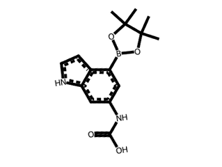 CC1(C)OB(c2cc(NC(=O)O)cc3[nH]ccc23)OC1(C)C